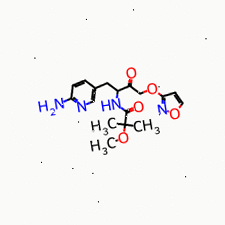 COC(C)(C)C(=O)NC(Cc1ccc(N)nc1)C(=O)COc1ccon1